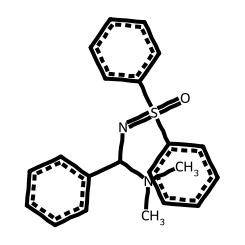 CN(C)C(N=S(=O)(c1ccccc1)c1ccccc1)c1ccccc1